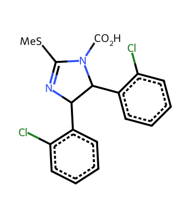 CSC1=NC(c2ccccc2Cl)C(c2ccccc2Cl)N1C(=O)O